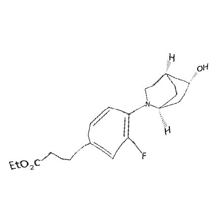 CCOC(=O)CCc1ccc(N2C[C@@H]3C[C@H]2C[C@H]3O)c(F)c1